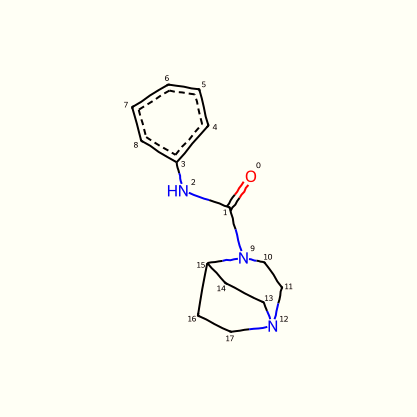 O=C(Nc1ccccc1)N1CCN2CCC1CC2